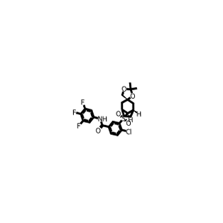 CC1(C)OC[C@@]2(CC3CC[C@@H](C2)[C@H]3S(=O)(=O)c2cc(C(=O)Nc3cc(F)c(F)c(F)c3)ccc2Cl)O1